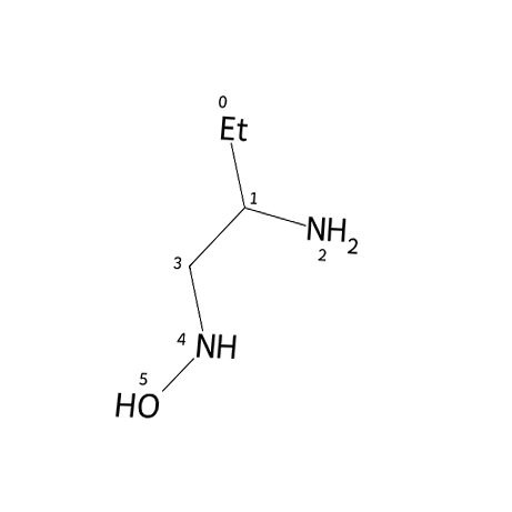 CCC(N)CNO